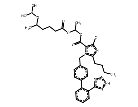 CCCCc1nc(Cl)c(C(=O)OC(C)OC(=O)CCCC(C)ON(O)O)n1Cc1ccc(-c2ccccc2-c2nn[nH]n2)cc1